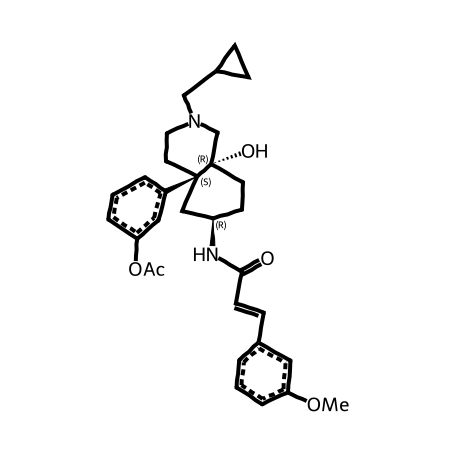 COc1cccc(C=CC(=O)N[C@@H]2CC[C@]3(O)CN(CC4CC4)CC[C@@]3(c3cccc(OC(C)=O)c3)C2)c1